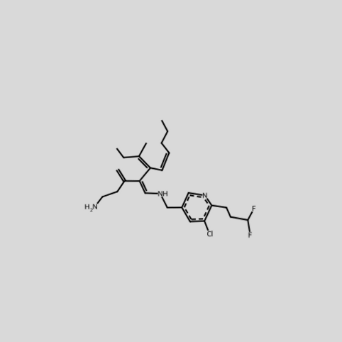 C=C(CCN)C(=C/NCc1cnc(CCC(F)F)c(Cl)c1)/C(/C=C\CCC)=C(/C)CC